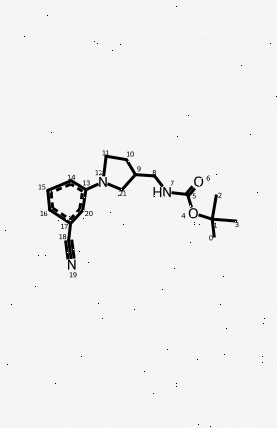 CC(C)(C)OC(=O)NCC1CCN(c2cccc(C#N)c2)C1